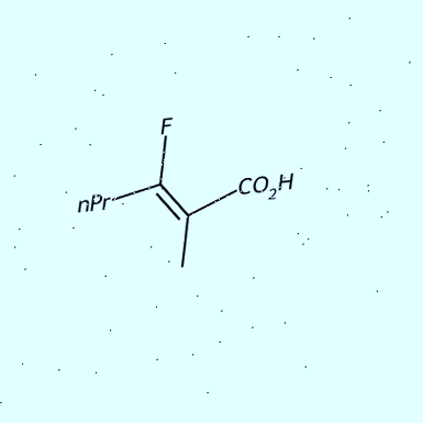 CCCC(F)=C(C)C(=O)O